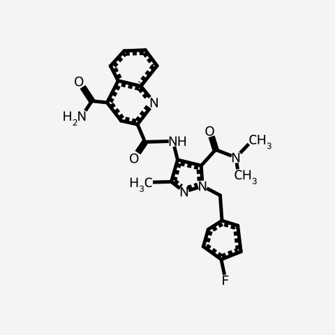 Cc1nn(Cc2ccc(F)cc2)c(C(=O)N(C)C)c1NC(=O)c1cc(C(N)=O)c2ccccc2n1